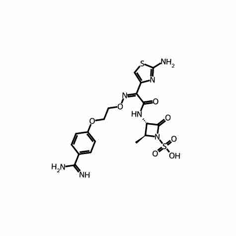 C[C@H]1[C@H](NC(=O)C(=NOCCOc2ccc(C(=N)N)cc2)c2csc(N)n2)C(=O)N1S(=O)(=O)O